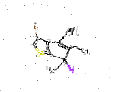 CC1=C(C)C(C)(I)c2scc(Br)c21